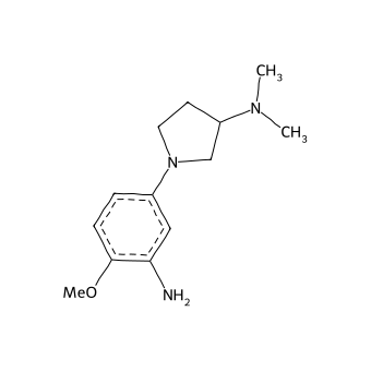 COc1ccc(N2CCC(N(C)C)C2)cc1N